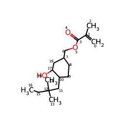 C=C(C)C(=O)OCC1CCC(CC(C)(C)CC)C(O)C1